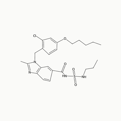 CCCCCOc1ccc(Cn2c(C)nc3ccc(C(=O)NS(=O)(=O)NCCC)cc32)c(Cl)c1